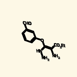 CCOC(=O)/C(N)=C(/NN)Oc1cccc(C=O)c1